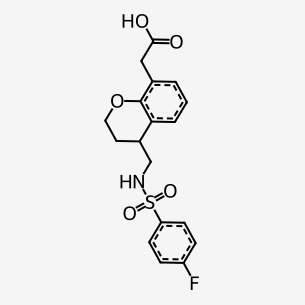 O=C(O)Cc1cccc2c1OCCC2CNS(=O)(=O)c1ccc(F)cc1